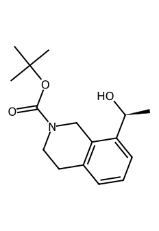 C[C@H](O)c1cccc2c1CN(C(=O)OC(C)(C)C)CC2